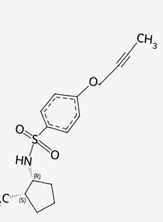 CC#CCOc1ccc(S(=O)(=O)N[C@@H]2CCC[C@@H]2C(=O)O)cc1